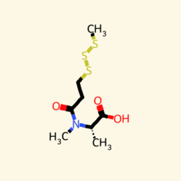 CSSSCCC(=O)N(C)[C@@H](C)C(=O)O